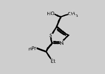 CCCC(CC)c1ncc(C(C)O)s1